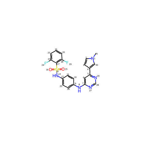 Cn1ccc(-c2cc(Nc3ccc(NS(=O)(=O)c4c(F)cccc4F)cc3)ncn2)c1